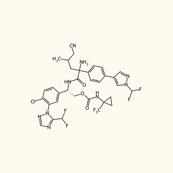 CC(CC#N)CC(N)(C(=O)N[C@H](COC(=O)NC1(C(F)(F)F)CC1)c1ccc(Cl)c(-n2ncnc2C(F)F)c1)c1ccc(-c2cnn(C(F)F)c2)cc1